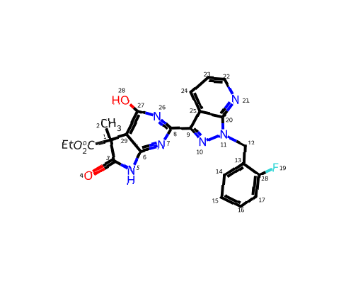 CCOC(=O)C1(C)C(=O)Nc2nc(-c3nn(Cc4ccccc4F)c4ncccc34)nc(O)c21